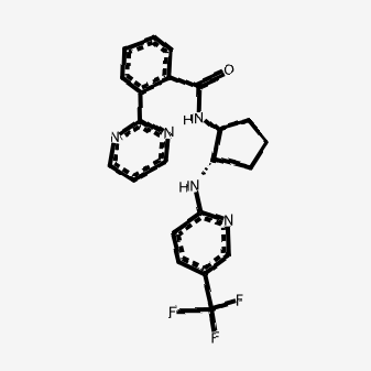 O=C(NC1CCC[C@@H]1Nc1ccc(C(F)(F)F)cn1)c1ccccc1-c1ncccn1